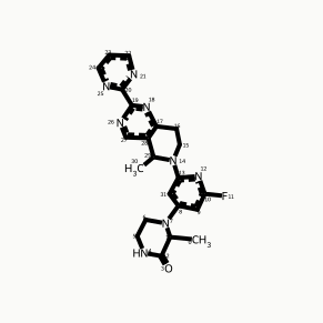 CC1C(=O)NCCN1c1cc(F)nc(N2CCc3nc(-c4ncccn4)ncc3C2C)c1